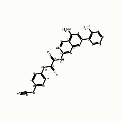 Cc1ccncc1-c1cc(N)c2cnc(NC(=O)C(=O)Nc3ccc(CC#N)cc3)cc2c1